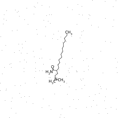 CCCCCCCCCCCCCCC(CCN(C)C)C(N)=O